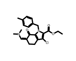 CCOC(=O)c1c(Cl)c2c(n1Cc1ccc(C)cc1)C(=O)C(=CN(C)C)CC2